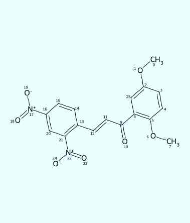 COc1ccc(OC)c(C(=O)C=Cc2ccc([N+](=O)[O-])cc2[N+](=O)[O-])c1